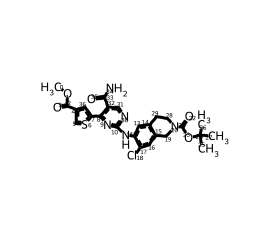 COC(=O)c1csc(-c2nc(Nc3cc4c(cc3Cl)CN(C(=O)OC(C)(C)C)CC4)ncc2C(N)=O)c1